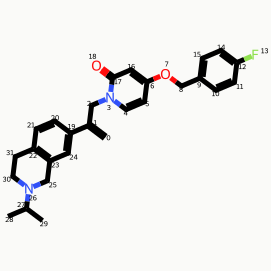 C=C(Cn1ccc(OCc2ccc(F)cc2)cc1=O)c1ccc2c(c1)CN(C(C)C)CC2